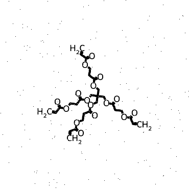 C=CC(=O)OCCC(=O)OCC(COC(=O)CCOC(=O)C=C)(COC(=O)CCOC(=O)C=C)COC(=O)CCOC(=O)C=C